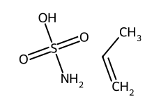 C=CC.NS(=O)(=O)O